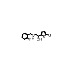 OC(CNCc1ccccc1F)c1ccc(Cl)s1